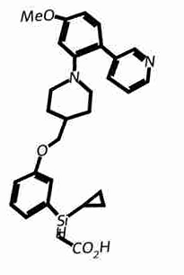 COc1ccc(-c2cccnc2)c(N2CCC(COc3cccc([Si@@H](CC(=O)O)C4CC4)c3)CC2)c1